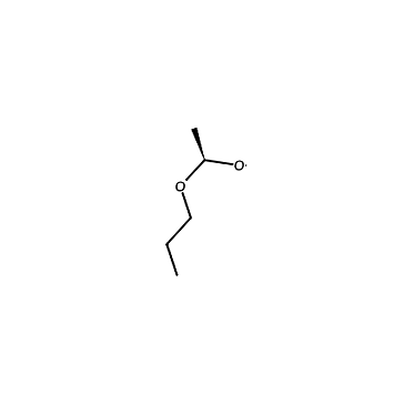 CCCO[C@@H](C)[O]